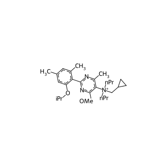 CCC[N+](CCC)(CC1CC1)c1c(C)nc(-c2c(C)cc(C)cc2OC(C)C)nc1OC